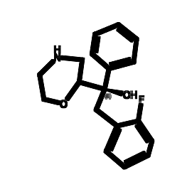 O[C@](Cc1ccccc1F)(c1ccccc1)C1CNCCO1